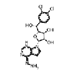 N/N=c1/nc[nH]c2c1ccn2[C@@H]1O[C@H]([C@H](O)c2ccc(Cl)c(Cl)c2)[C@@H](O)[C@H]1O